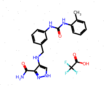 Cc1ccccc1NC(=O)Nc1cccc(CNc2c[nH]nc2C(N)=O)c1.O=C(O)C(F)(F)F